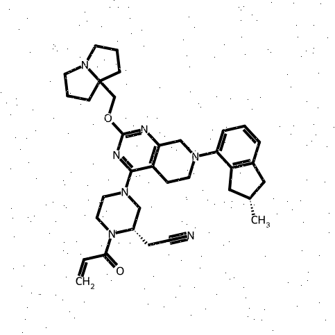 C=CC(=O)N1CCN(c2nc(OCC34CCCN3CCC4)nc3c2CCN(c2cccc4c2C[C@@H](C)C4)C3)C[C@@H]1CC#N